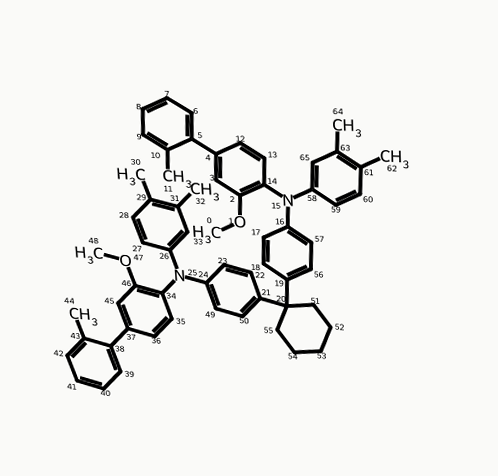 COc1cc(-c2ccccc2C)ccc1N(c1ccc(C2(c3ccc(N(c4ccc(C)c(C)c4)c4ccc(-c5ccccc5C)cc4OC)cc3)CCCCC2)cc1)c1ccc(C)c(C)c1